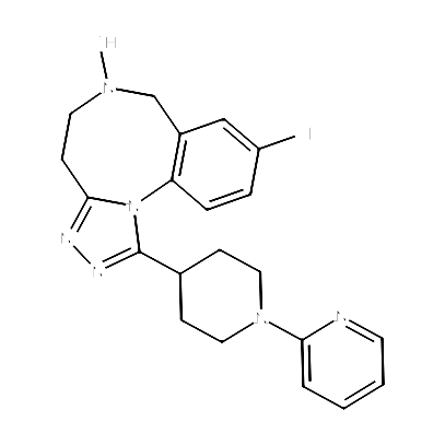 CN1CCc2nnc(C3CCN(c4ccccn4)CC3)n2-c2ccc(Cl)cc2C1